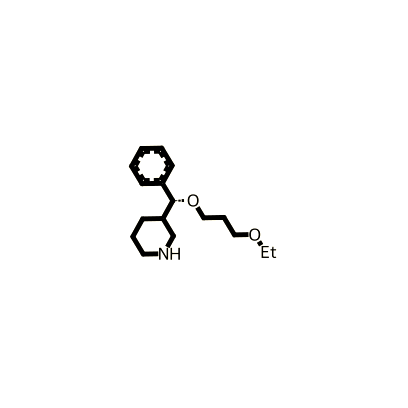 CCOCCCO[C@@H](c1ccccc1)C1CCCNC1